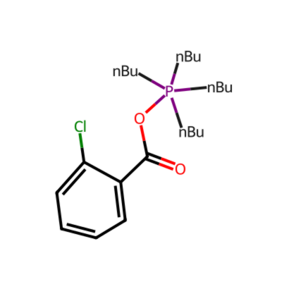 CCCCP(CCCC)(CCCC)(CCCC)OC(=O)c1ccccc1Cl